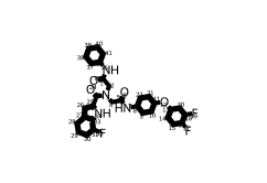 O=C(CN(CC(=O)Nc1ccc(Oc2ccc(F)c(F)c2)cc1)C(=O)c1cc2cccc(F)c2[nH]1)Nc1ccccc1